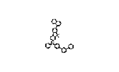 CC1(C)c2cc(-c3cccc4ccccc34)ccc2-c2ccc(N(c3ccccc3)c3ccc(-c4cccc(-c5ccccc5)c4)cc3)cc21